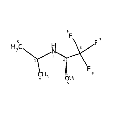 CC(C)N[C@@H](O)C(F)(F)F